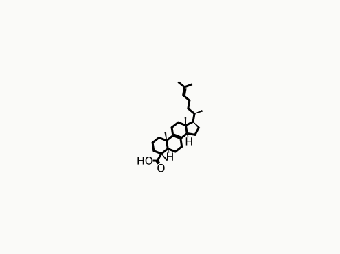 CC(C)=CCC[C@@H](C)[C@H]1CC[C@H]2C3=C(CC[C@]12C)[C@@]1(C)CCC[C@@](C)(C(=O)O)[C@@H]1CC3